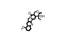 C=C1OCc2c(cc3n(c2=O)Cc2cc4c(OC)cccc4nc2-3)[C@@]1(O)CC